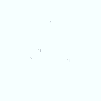 CC(C)(C)OC(=O)n1nc(I)c2cc(I)ncc21